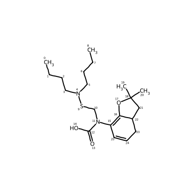 CCCCN(CCCC)SCN(C(=O)O)C1=C2OC(C)(C)CC2CC=C1